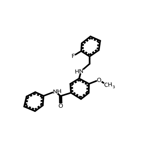 COc1ccc(C(=O)Nc2ccccc2)cc1NCc1ccccc1F